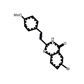 COc1ccc(/C=C/c2nc3ccc(Br)cc3c(=O)[nH]2)cc1